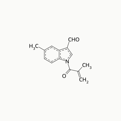 C=C(C)C(=O)n1cc(C=O)c2cc(C)ccc21